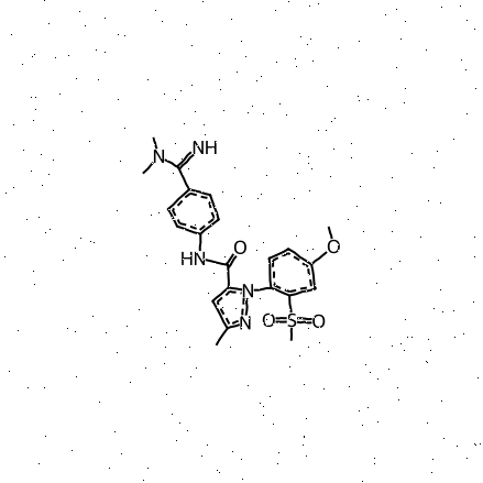 COc1ccc(-n2nc(C)cc2C(=O)Nc2ccc(C(=N)N(C)C)cc2)c(S(C)(=O)=O)c1